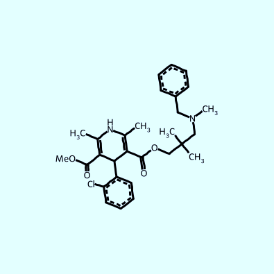 COC(=O)C1=C(C)NC(C)=C(C(=O)OCC(C)(C)CN(C)Cc2ccccc2)C1c1ccccc1Cl